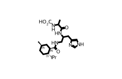 CC(NC(=O)O)C(=O)NC(CNC(=O)[C@@H]1C[C@H](C)CC[C@H]1C(C)C)Cc1c[nH]cn1